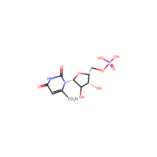 CCOC(=O)c1cc(=O)[nH]c(=O)n1[C@@H]1O[C@H](COP(=O)(O)O)[C@H](O)C1O